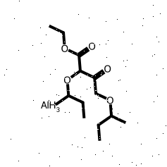 CCOC(=O)C(OC(C)CC)C(=O)COC(C)CC.[AlH3]